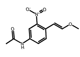 COC=Cc1ccc(NC(C)=O)cc1[N+](=O)[O-]